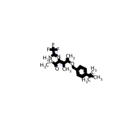 C=C(OCc1ccc(C(C)(C)C)cc1)/C(C)=C(\N=C(/N)C(F)(F)F)C(=O)OC